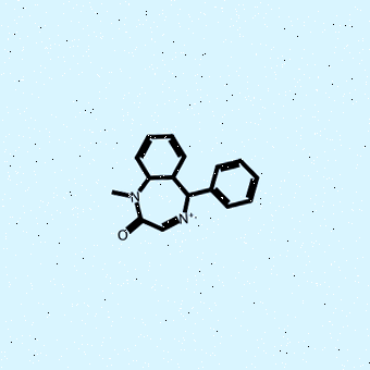 CN1C(=O)C=[N+]C(c2ccccc2)C2C=CC=CC21